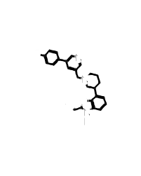 O=CC1Nc2cccc(C3CCCN(Cc4cncc(-c5ccc(F)cc5)c4)C3)c2O1